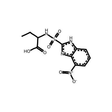 CCC(NS(=O)(=O)c1nc2c([N+](=O)[O-])cccc2[nH]1)C(=O)O